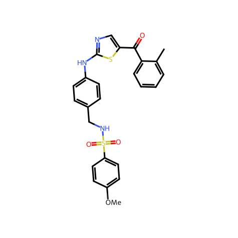 COc1ccc(S(=O)(=O)NCc2ccc(Nc3ncc(C(=O)c4ccccc4C)s3)cc2)cc1